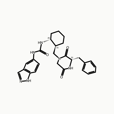 O=C1CN(C[C@@H]2CCCC[C@H]2NC(=O)Nc2ccc3[nH]ncc3c2)C(=O)[C@H](Cc2ccccc2)N1